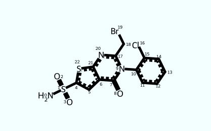 NS(=O)(=O)c1cc2c(=O)n(-c3ccccc3Cl)c(CBr)nc2s1